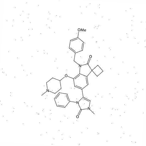 COc1ccc(CN2C(=O)C3(CCC3)c3cc(-c4cn(C)c(=O)n4-c4ccccc4)cc(OC4CCN(C)CC4)c32)cc1